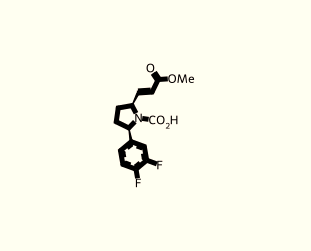 COC(=O)C=C[C@@H]1CC[C@H](c2ccc(F)c(F)c2)N1C(=O)O